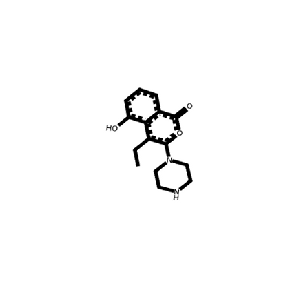 CCc1c(N2CCNCC2)oc(=O)c2cccc(O)c12